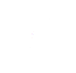 CCCCCCCC/C=C\CCCCCCCCOCCN(CCOCCCCCCCC/C=C\CCCCCCCC)C(=O)CC